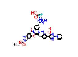 CC(C)(C)OC(=O)NC[C@H]1CC[C@H](C(=O)N(C(=O)[C@@H](N)Cc2ccc(-c3cnc(N4CCCCC4)nc3O)cc2)c2ccc(-c3nn[nH]n3)cc2)CC1.O=C(O)C(F)(F)F